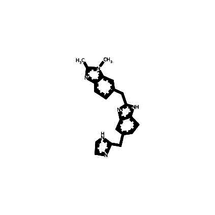 Cc1nc2ccc(Cc3nc4cc(Cc5ncc[nH]5)ccc4[nH]3)cc2n1C